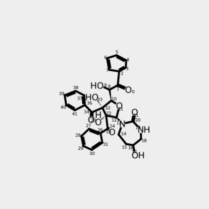 O=C(c1ccccc1)C(O)[C@H]1O[C@@H](N2CCC(O)CNC2=O)[C@@](O)(C(=O)c2ccccc2)[C@@]1(O)C(=O)c1ccccc1